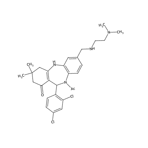 CC(=O)N1c2ccc(CNCCN(C)C)cc2NC2=C(C(=O)CC(C)(C)C2)C1c1ccc(Cl)cc1Cl